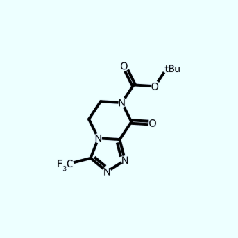 CC(C)(C)OC(=O)N1CCn2c(nnc2C(F)(F)F)C1=O